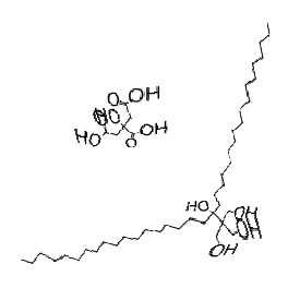 CCCCCCCCCCCCCCCCCCC(O)(CCCCCCCCCCCCCCCCCC)C(CO)(CO)CO.O=C(O)CC(O)(CC(=O)O)C(=O)O